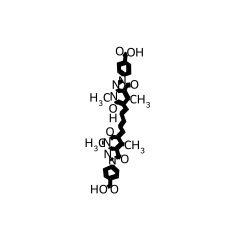 Cc1c(C=CC=CC=c2c(C)c3c(n(C)c2=O)=NN(c2ccc(C(=O)O)cc2)C3=O)c(O)n(C)c2nn(-c3ccc(C(=O)O)cc3)c(=O)c1-2